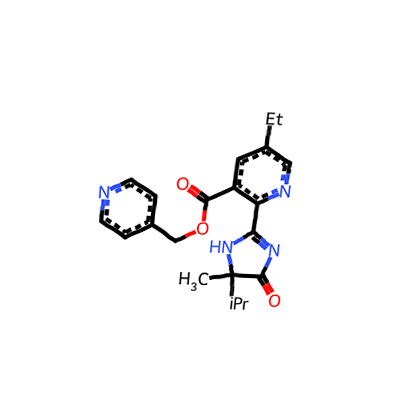 CCc1cnc(C2=NC(=O)C(C)(C(C)C)N2)c(C(=O)OCc2ccncc2)c1